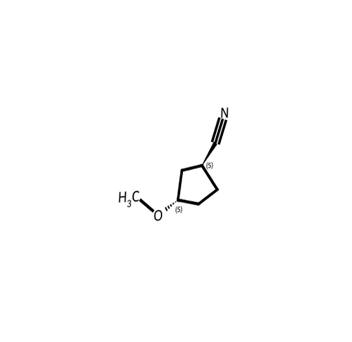 CO[C@H]1CC[C@H](C#N)C1